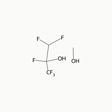 CO.OC(F)(C(F)F)C(F)(F)F